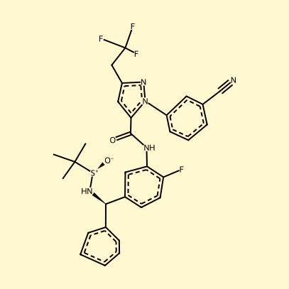 CC(C)(C)[S@@+]([O-])N[C@H](c1ccccc1)c1ccc(F)c(NC(=O)c2cc(CC(F)(F)F)nn2-c2cccc(C#N)c2)c1